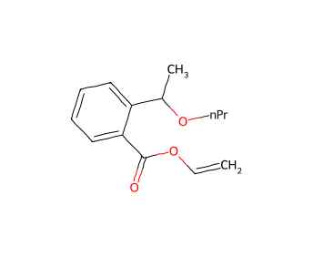 C=COC(=O)c1ccccc1C(C)OCCC